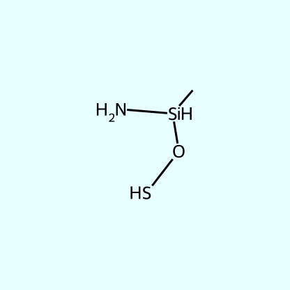 C[SiH](N)OS